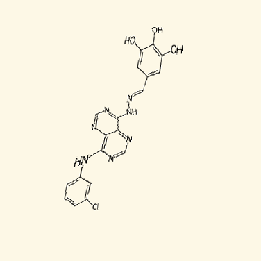 Oc1cc(C=NNc2ncnc3c(Nc4cccc(Cl)c4)ncnc23)cc(O)c1O